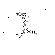 C=CC[C](CC=C)CCCCCCCCCCCCCC